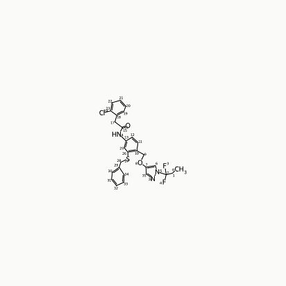 CCC(F)(F)n1cc(OCc2ccc(NC(=O)Cc3ccccc3Cl)cc2SCc2ccccc2)cn1